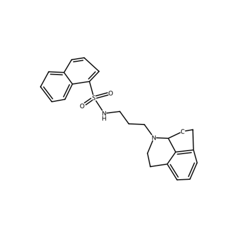 O=S(=O)(NCCCN1CCc2cccc3c2C1CC3)c1cccc2ccccc12